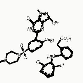 CCCc1nn(C)c2c(=O)[nH]c(-c3cc(S(=O)(=O)N4CCN(C)CC4)ccc3OCC)nc12.O=C(O)Cc1ccccc1Nc1c(Cl)cccc1Cl